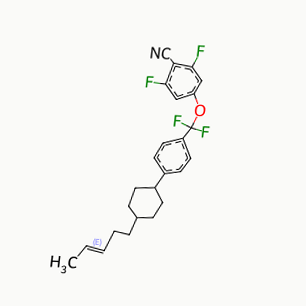 C/C=C/CCC1CCC(c2ccc(C(F)(F)Oc3cc(F)c(C#N)c(F)c3)cc2)CC1